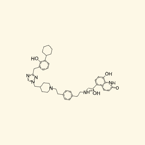 O=c1ccc2c([C@@H](O)CNCCc3ccc(CCN4CCC(Cn5cnc(Cc6cccc(C7CCCCC7)c6O)n5)CC4)cc3)ccc(O)c2[nH]1